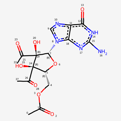 CC(=O)OC[C@H]1O[C@@H](n2cnc3c(=O)[nH]c(N)nc32)[C@@](O)(C(C)=O)[C@@]1(O)C(C)=O